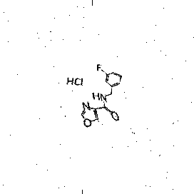 Cl.O=C(NCc1cccc(F)c1)c1cocn1